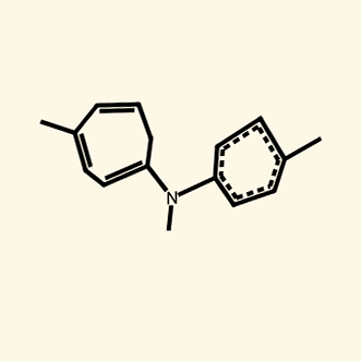 CC1=CC=C(N(C)c2ccc(C)cc2)CC=C1